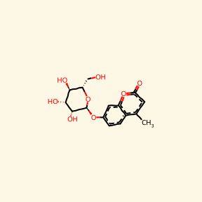 Cc1cc(=O)oc2cc(O[C@@H]3O[C@@H](CO)[C@H](O)[C@@H](O)[C@H]3O)ccc12